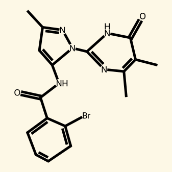 Cc1cc(NC(=O)c2ccccc2Br)n(-c2nc(C)c(C)c(=O)[nH]2)n1